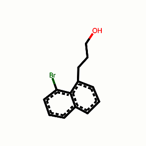 OCCCc1cccc2cccc(Br)c12